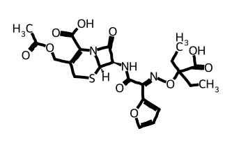 CCC(CC)(ON=C(C(=O)N[C@@H]1C(=O)N2C(C(=O)O)=C(COC(C)=O)CS[C@H]12)c1ccco1)C(=O)O